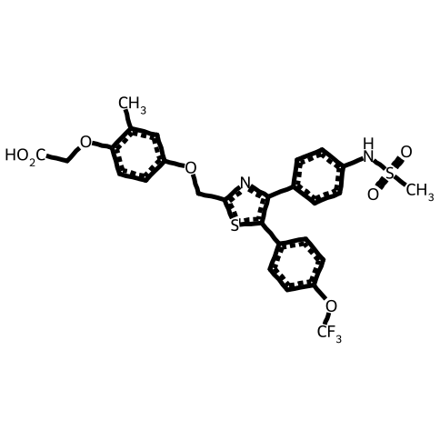 Cc1cc(OCc2nc(-c3ccc(NS(C)(=O)=O)cc3)c(-c3ccc(OC(F)(F)F)cc3)s2)ccc1OCC(=O)O